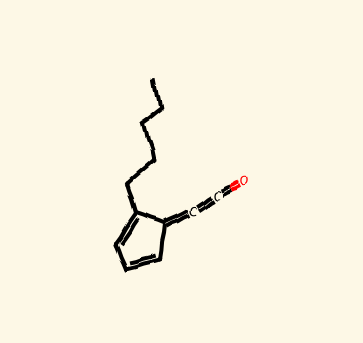 CCCCCC1=CC=CC1=C=C=O